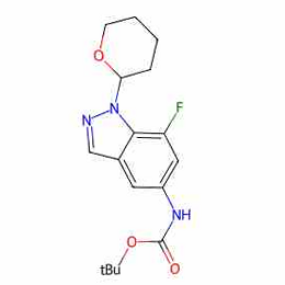 CC(C)(C)OC(=O)Nc1cc(F)c2c(cnn2C2CCCCO2)c1